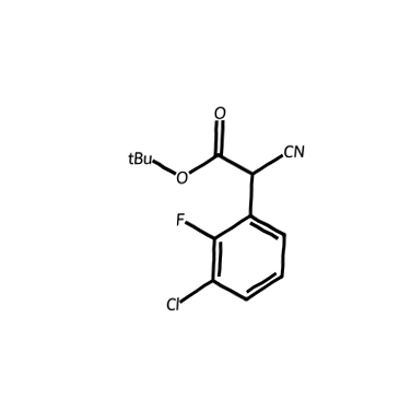 CC(C)(C)OC(=O)C(C#N)c1cccc(Cl)c1F